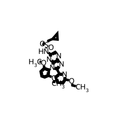 CCOc1cccc(-c2nc3ncc(NS(=O)(=O)CC4CC4)nc3n2-c2c(OC)cccc2OC)n1